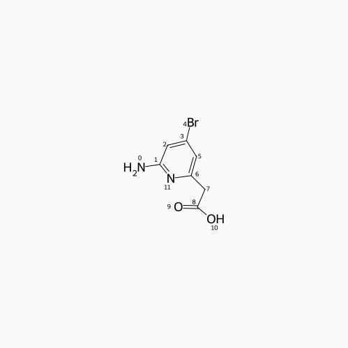 Nc1cc(Br)cc(CC(=O)O)n1